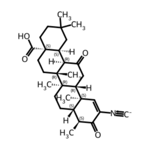 [C-]#[N+]C1=C[C@]2(C)[C@H]3CC(=O)[C@@H]4[C@@H]5CC(C)(C)CC[C@]5(C(=O)O)CC[C@@]4(C)[C@]3(C)CC[C@H]2[C@H](C)C1=O